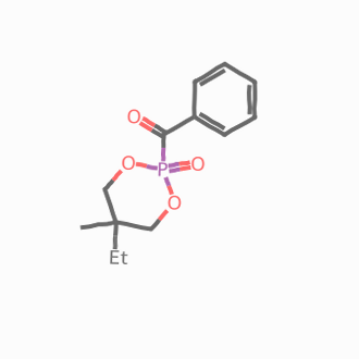 CCC1(C)COP(=O)(C(=O)c2ccccc2)OC1